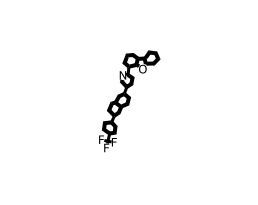 FC(F)(F)c1ccc(-c2ccc3cc(-c4ccc(-c5cccc6c5oc5ccccc56)nc4)ccc3c2)cc1